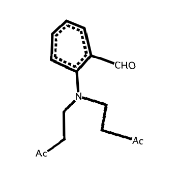 CC(=O)CCN(CCC(C)=O)c1ccccc1C=O